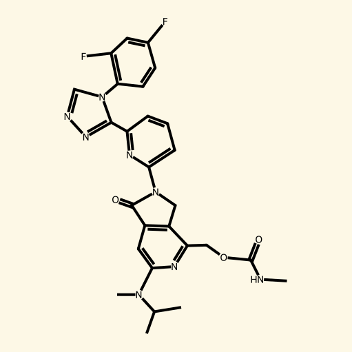 CNC(=O)OCc1nc(N(C)C(C)C)cc2c1CN(c1cccc(-c3nncn3-c3ccc(F)cc3F)n1)C2=O